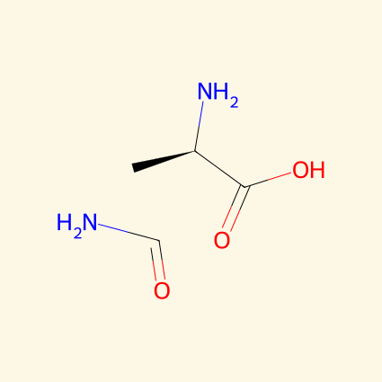 C[C@@H](N)C(=O)O.NC=O